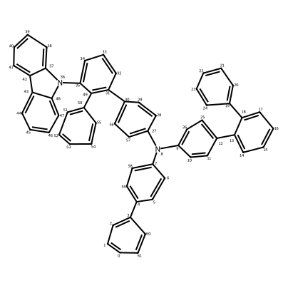 c1ccc(-c2ccc(N(c3ccc(-c4ccccc4-c4ccccc4)cc3)c3ccc(-c4cccc(-n5c6ccccc6c6ccccc65)c4-c4ccccc4)cc3)cc2)cc1